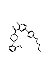 CCCCOc1ccc(-c2ccc(C)c(C(=O)N3CCN(c4ccccc4OC)CC3)c2)cc1